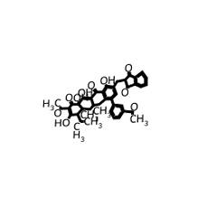 CC(=O)C1=C(O)C(C(C)C)[C@@]2(C)C[C@@]3(C)Cc4c(-c5cccc(C(C)=O)c5)cc(CC5C(=O)c6ccccc6C5=O)c(O)c4C(=O)C3=C(O)[C@@]2(O)C1=O